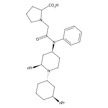 CCC[C@H]1CCC[C@H](N2CC[C@H](N(C(=O)CN3CCCC3C(=O)O)c3ccccc3)C[C@@H]2CCC)C1